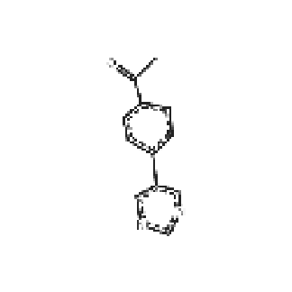 CC(=O)c1ccc(-c2cncnc2)cc1